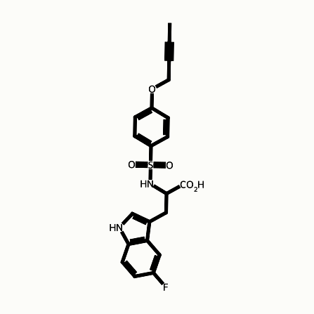 CC#CCOc1ccc(S(=O)(=O)NC(Cc2c[nH]c3ccc(F)cc23)C(=O)O)cc1